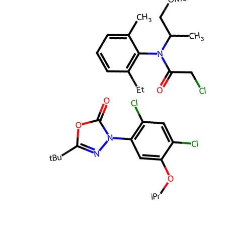 CC(C)Oc1cc(-n2nc(C(C)(C)C)oc2=O)c(Cl)cc1Cl.CCc1cccc(C)c1N(C(=O)CCl)C(C)COC